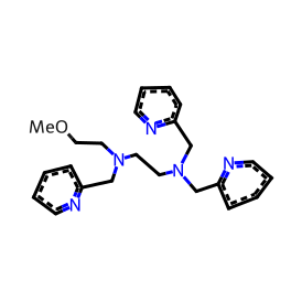 COCCN(CCN(Cc1ccccn1)Cc1ccccn1)Cc1ccccn1